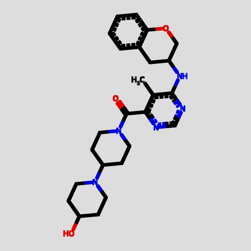 Cc1c(NC2COc3ccccc3C2)ncnc1C(=O)N1CCC(N2CCC(O)CC2)CC1